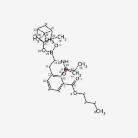 CCCCOC(=O)c1cccc(CC(NC(=O)CC)B2OC3CC4CC(C4(C)C)C3(C)O2)c1OC